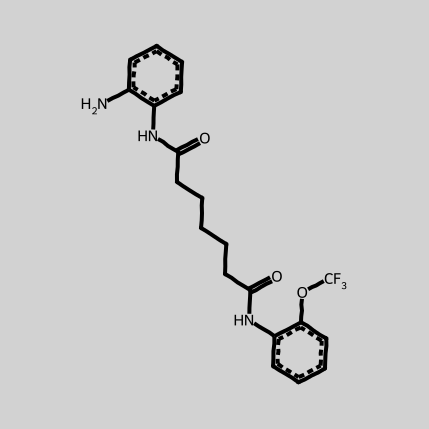 Nc1ccccc1NC(=O)CCCCCC(=O)Nc1ccccc1OC(F)(F)F